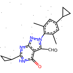 Cc1cc(C2CC2)cc(C)c1-n1nc2nc(C3CC3)[nH]c(=O)c2c1C=O